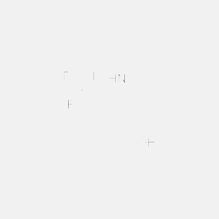 CNc1cc(O)ccc1C(F)(F)F